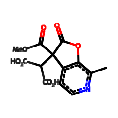 COC(=O)C1(C(C(=O)O)C(=O)O)C(=O)Oc2c1ccnc2C